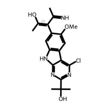 COc1cc2c(cc1/C(C(C)=N)=C(\C)O)[nH]c1nc(C(C)(C)O)nc(Cl)c12